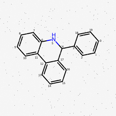 c1ccc(C2Nc3ccccc3-c3ccccc32)cc1